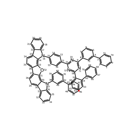 c1ccc(-c2cccc(-c3nc(-c4ccc(-n5c6ccccc6c6ccc7c8ccc9c%10ccccc%10n(-c%10cccc(-c%11ccccc%11)c%10)c9c8oc7c65)cc4)nc(-c4ccccc4-c4ccccc4)n3)c2)cc1